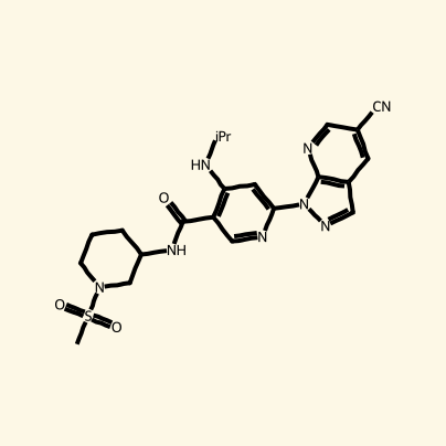 CC(C)Nc1cc(-n2ncc3cc(C#N)cnc32)ncc1C(=O)NC1CCCN(S(C)(=O)=O)C1